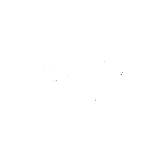 [2H]C([2H])([2H])Oc1ccc(Cl)cc1-c1cc(C)ncc1C(=O)OC